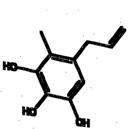 C=CCc1cc(O)c(O)c(O)c1C